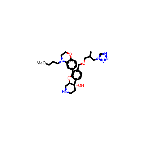 COCCCN1CCOc2ccc(CO[C@H]3CNCC[C@]3(O)c3ccc(COCC(C)Cn4cnnn4)cc3)cc21